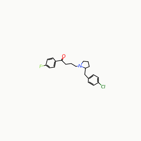 O=C(CCCN1CCCC1Cc1ccc(Cl)cc1)c1ccc(F)cc1